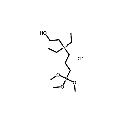 CC[N+](CC)(CCO)CCC[Si](OC)(OC)OC.[Cl-]